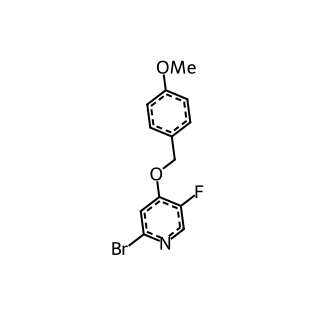 COc1ccc(COc2cc(Br)ncc2F)cc1